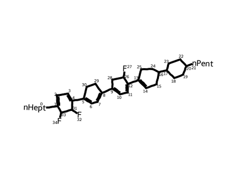 CCCCCCCC1=CC=C(C2=CC=C(C3=CC=C(C4=CCC(C5CCC(CCCCC)CC5)CC4)C(F)C3)CC2)C(F)C1F